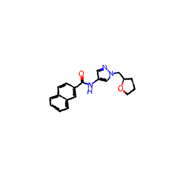 O=C(Nc1cnn(CC2CCCO2)c1)c1ccc2ccccc2c1